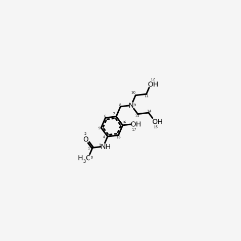 CC(=O)Nc1ccc(CN(CCO)CCO)c(O)c1